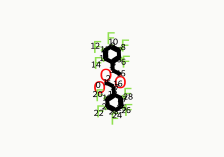 O=C1OC(c2c(F)c(F)c(F)c(F)c2F)COC1c1c(F)c(F)c(F)c(F)c1F